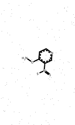 NOc1ccn[c]c1[N+](=S)[S-]